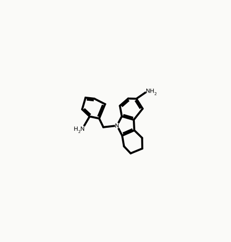 Nc1ccc2c(c1)c1c(n2Cc2ccccc2N)CCCC1